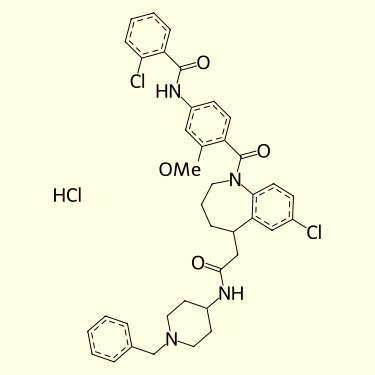 COc1cc(NC(=O)c2ccccc2Cl)ccc1C(=O)N1CCCC(CC(=O)NC2CCN(Cc3ccccc3)CC2)c2cc(Cl)ccc21.Cl